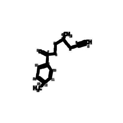 C#CCC(C)CCC(=O)c1ccc(C)cc1